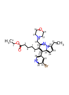 CCOC(=O)CCCCc1c(CN2CCOCC2)nn2c(CC)ccc2c1-c1cncc(Br)c1